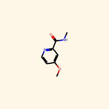 CNC(=O)c1cc(OC)ccn1